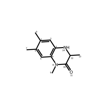 Cc1cc2c(cc1C)N(C)C(=O)C(C)N2